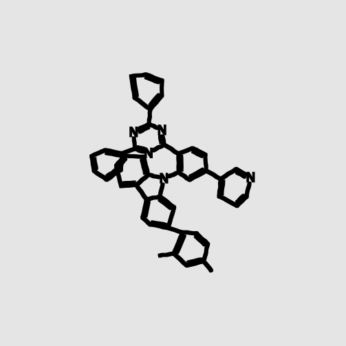 Cc1ccc(-c2ccc3c4ccccc4n(-c4cc(-c5cccnc5)ccc4-c4nc(-c5ccccc5)nc(-c5ccccc5)n4)c3c2)c(C)c1